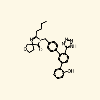 CCCCC1=NC2(CCOC2)C(=O)N1Cc1ccc(-c2cc(-c3ccccc3O)ccc2-c2nnn[nH]2)cc1